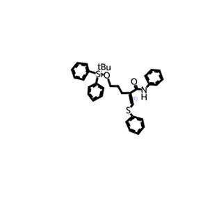 CC(C)(C)[Si](OCCC/C(=C\Sc1ccccc1)C(=O)Nc1ccccc1)(c1ccccc1)c1ccccc1